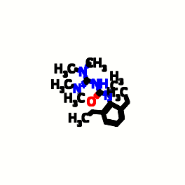 CCc1cccc(CC)c1N(C)C(=O)NC(N(C)C)=[N+](C)C